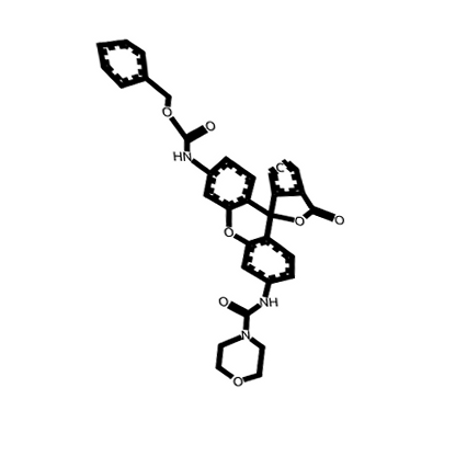 O=C(Nc1ccc2c(c1)Oc1cc(NC(=O)N3CCOCC3)ccc1C21OC(=O)c2ccccc21)OCc1ccccc1